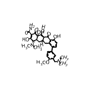 COc1ccc(-c2ccc(O)c3c2C[C@H]2CC4[C@H](N(C)C)C(O)=C(C(N)=O)C(=O)[C@@]4(O)C(O)=C2C3=O)cc1CN(C)C